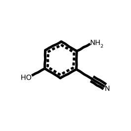 N#Cc1cc(O)ccc1N